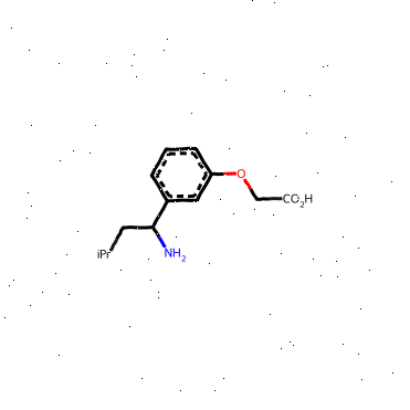 CC(C)CC(N)c1cccc(OCC(=O)O)c1